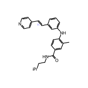 Cc1cc(C(=O)NCCC(C)C)ccc1Nc1cccc(/C=C/c2ccncc2)c1